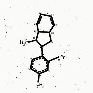 CCCc1cc(C)ccc1C1[C]C2C=CC=CC2C1C